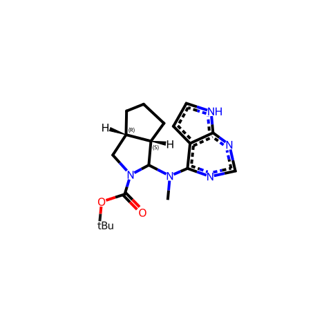 CN(c1ncnc2[nH]ccc12)C1[C@H]2CCC[C@H]2CN1C(=O)OC(C)(C)C